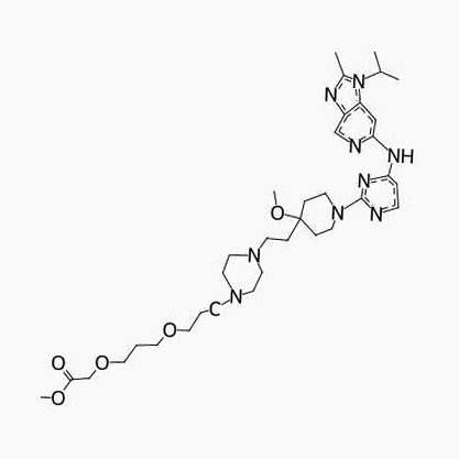 COC(=O)COCCCOCCCN1CCN(CCC2(OC)CCN(c3nccc(Nc4cc5c(cn4)nc(C)n5C(C)C)n3)CC2)CC1